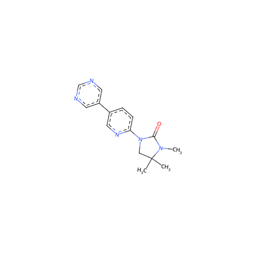 CN1C(=O)N(c2ccc(-c3cncnc3)cn2)CC1(C)C